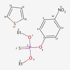 CCOP(=S)(OCC)Oc1ccc([N+](=O)[O-])cc1.c1ccsc1